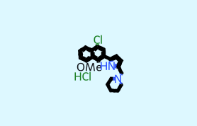 COc1c(-c2ccc(CN3CCCCC3)[nH]2)cc(Cl)c2ccccc12.Cl